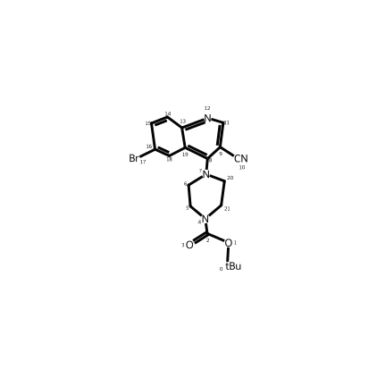 CC(C)(C)OC(=O)N1CCN(c2c(C#N)cnc3ccc(Br)cc23)CC1